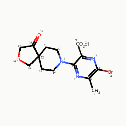 CCOC(=O)c1nc(Br)c(C)nc1N1CCC2(CC1)COCC2=O